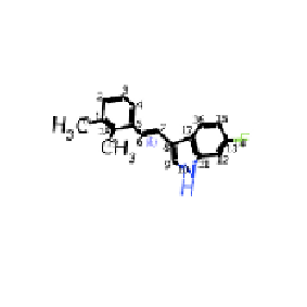 Cc1cccc(/C=C/c2c[nH]c3cc(F)ccc23)c1C